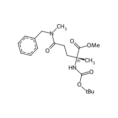 COC(=O)[C@@](C)(CCC(=O)N(C)Cc1ccccc1)NC(=O)OC(C)(C)C